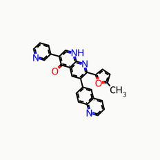 Cc1ccc(-c2nc3[nH]cc(-c4cccnc4)c(=O)c3cc2-c2ccc3ncccc3c2)o1